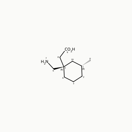 C[C@@H]1CCC[C@](CN)(CC(=O)O)C1